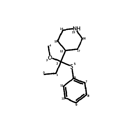 CCC(OC)(Sc1ccccc1)C1CCNCC1